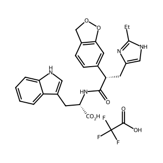 CCc1nc(C[C@H](C(=O)N[C@@H](Cc2c[nH]c3ccccc23)C(=O)O)c2ccc3c(c2)OOC3)c[nH]1.O=C(O)C(F)(F)F